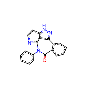 O=C1c2ccccc2-c2n[nH]c3ccnc(c23)N1c1ccccc1